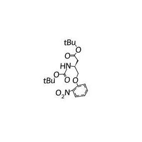 CC(C)(C)OC(=O)C[C@@H](COc1ccccc1[N+](=O)[O-])NC(=O)OC(C)(C)C